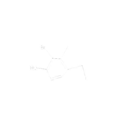 Cc1c(CI)ccc(O)c1Br